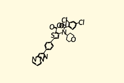 O=C(O)c1sc(-c2ccc(-c3cc4ncccn4n3)cc2)cc1N(C(=O)c1ccc(Cl)cc1Cl)C1CCOCC1